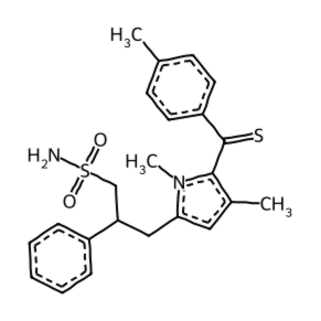 Cc1ccc(C(=S)c2c(C)cc(CC(CS(N)(=O)=O)c3ccccc3)n2C)cc1